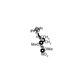 CCCOP(OCCCCN1c2cc(OC)c(/N=N/c3ccc([N+](=O)[O-])cc3OC)cc2C(C)CC1(C)C)N(C(C)C)C(C)C